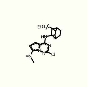 CCOC(=O)C1C2CCC(CC2)C1Nc1nc(Cl)nn2c(N(C)C)ccc12